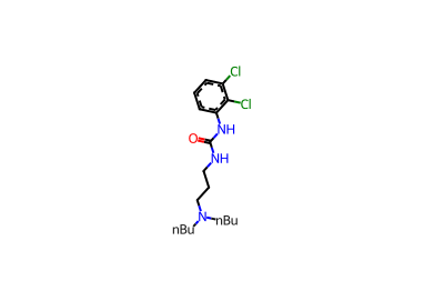 CCCCN(CCCC)CCCNC(=O)Nc1cccc(Cl)c1Cl